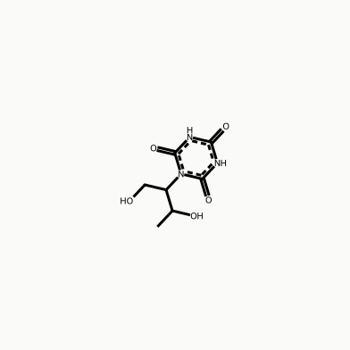 CC(O)C(CO)n1c(=O)[nH]c(=O)[nH]c1=O